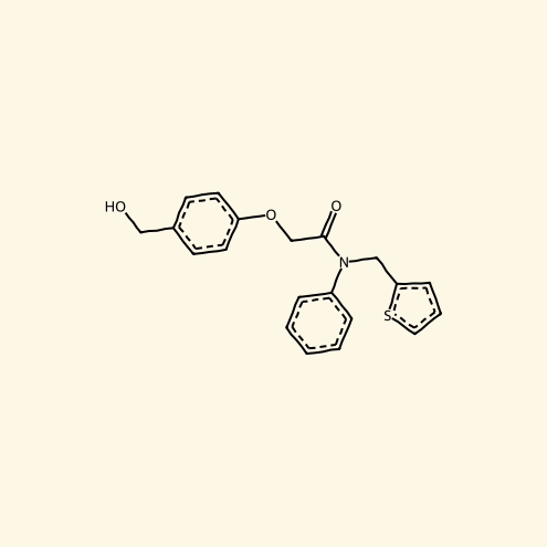 O=C(COc1ccc(CO)cc1)N(Cc1cccs1)c1ccccc1